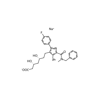 CC(C)c1c(C(=O)N(C)Cc2ccccc2)nn(-c2ccc(F)cc2)c1CC[C@@H](O)C[C@@H](O)CC(=O)[O-].[Na+]